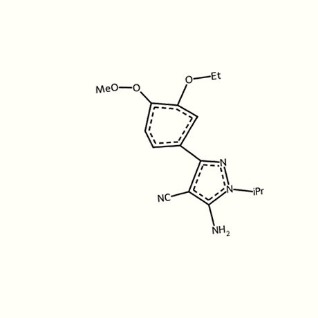 CCOc1cc(-c2nn(C(C)C)c(N)c2C#N)ccc1OOC